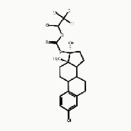 C[C@]12CCC3c4ccc(O)cc4CCC3C1CC[C@]2(O)OC(=O)OC(Cl)C(Cl)(Cl)Cl